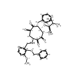 COc1ccnc(CN[C@H]2CC(=O)C(=O)[C@H](Cc3ccccc3)[C@H](OC(=O)C(C)C)[C@H](C)C(=O)C2=O)c1OCc1ccccc1